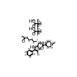 CC(=O)CCCCC[C@H](NC(=O)C1CCN(C)CC1)c1nc(C)c(-c2ccccc2)[nH]1.O=C(O)C(F)(F)F.O=C(O)C(F)(F)F